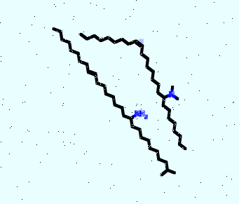 CCCCCCCC/C=C\CCCCCCCC(CCCCCCCC)N(C)C.CCCCCCCCC=CCCCCCCCC(N)CCCCCCCCC(C)C